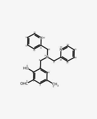 Cc1cc(C=O)c(O)c(CN(Cc2ccccn2)Cc2ccccn2)c1